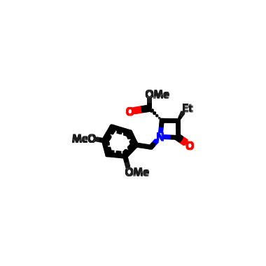 CC[C@H]1C(=O)N(Cc2ccc(OC)cc2OC)[C@@H]1C(=O)OC